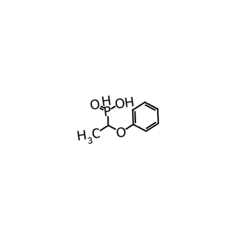 CC(Oc1ccccc1)[PH](=O)O